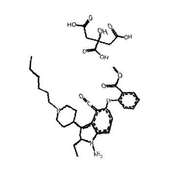 CCCCCCN1CCC(C2=c3c(ccc(Oc4ccccc4C(=O)OC)c3=C=O)N(N)C2CC)CC1.O=C(O)CC(O)(CC(=O)O)C(=O)O